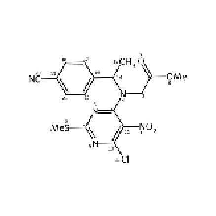 COC(=O)CN(c1nc(SC)nc(Cl)c1[N+](=O)[O-])C(C)c1ccc(C#N)cc1